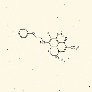 C[C@H]1COc2c(NCCOc3ccc(F)cc3)c(F)c(N)c3c(=O)c(C(=O)O)cn1c23